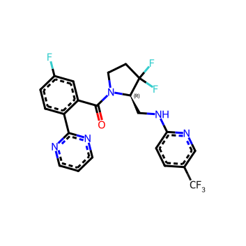 O=C(c1cc(F)ccc1-c1ncccn1)N1CCC(F)(F)[C@H]1CNc1ccc(C(F)(F)F)cn1